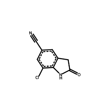 N#Cc1cc(Cl)c2c(c1)CC(=O)N2